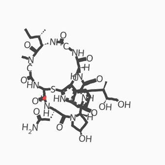 CC[C@H](C)[C@@H]1NC(=O)CNC(=O)[C@@H]2Cc3c([nH]c4ccccc34)S[C@H](NC(=O)CN(C)C1=O)C(=O)N[C@@H](CC(N)=O)C(=O)N1C[C@H](O)C[C@H]1C(=O)N[C@@H]([C@@H](C)[C@@H](O)CO)C(=O)N2